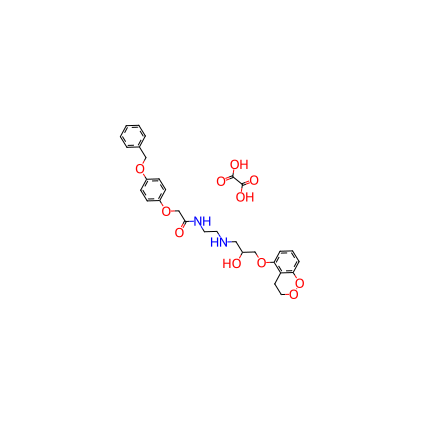 O=C(COc1ccc(OCc2ccccc2)cc1)NCCNCC(O)COc1cccc2c1CCOO2.O=C(O)C(=O)O